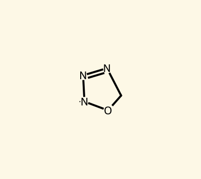 C1N=N[N]O1